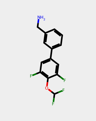 NCc1cccc(-c2cc(F)c(OC(F)F)c(F)c2)c1